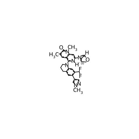 Cc1cc2c(N3CCCc4cc(-c5cnn(C)c5)c(C(F)F)cc43)nc(N3C[C@@H]4C[C@H]3CO4)cc2n(C)c1=O